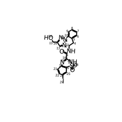 O=C(NCCc1ccccc1-n1ncc(CO)n1)C1=Nc2ccc(I)cc2S(=O)(=O)N1